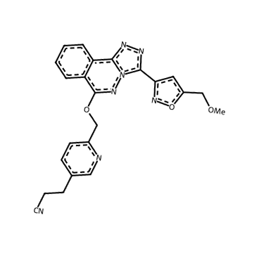 COCc1cc(-c2nnc3c4ccccc4c(OCc4ccc(CCC#N)cn4)nn23)no1